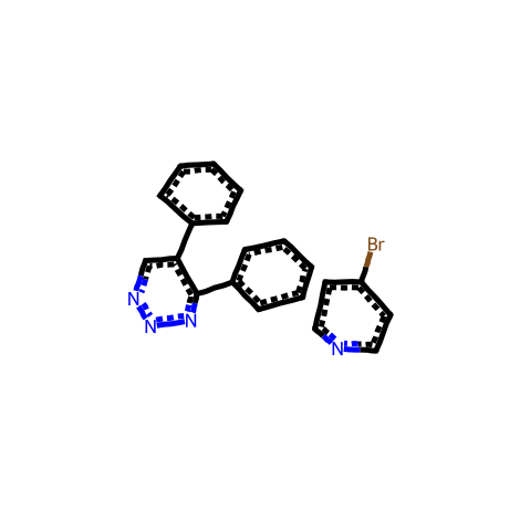 Brc1ccncc1.c1ccc(-c2cnnnc2-c2ccccc2)cc1